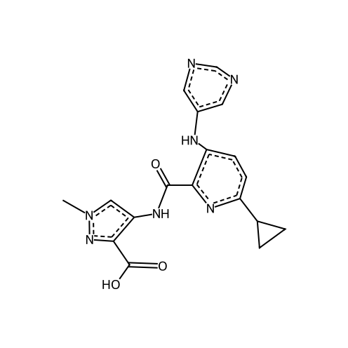 Cn1cc(NC(=O)c2nc(C3CC3)ccc2Nc2cncnc2)c(C(=O)O)n1